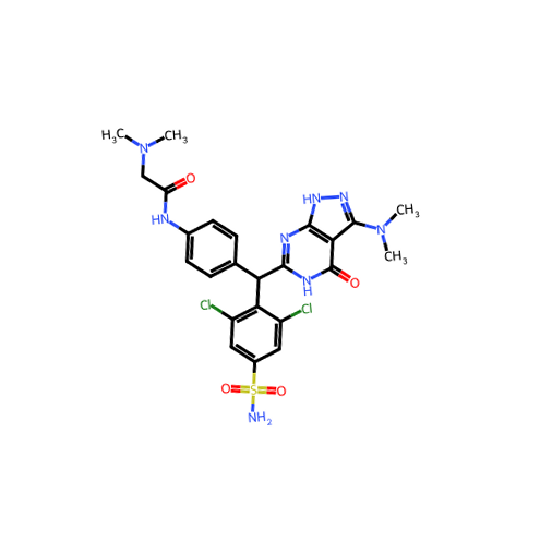 CN(C)CC(=O)Nc1ccc(C(c2nc3[nH]nc(N(C)C)c3c(=O)[nH]2)c2c(Cl)cc(S(N)(=O)=O)cc2Cl)cc1